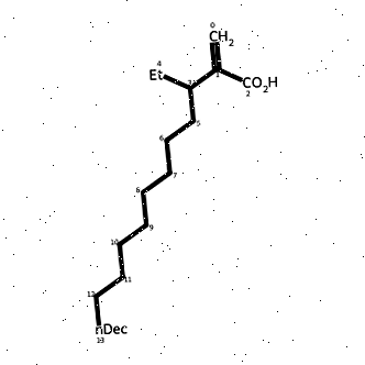 C=C(C(=O)O)C(CC)CCCCCCCCCCCCCCCCCC